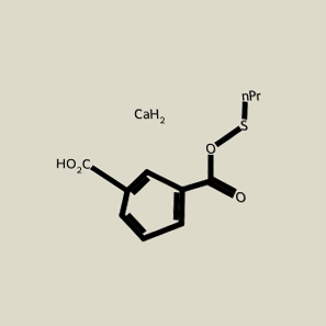 CCCSOC(=O)c1cccc(C(=O)O)c1.[CaH2]